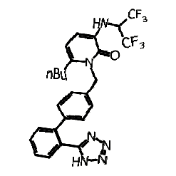 CCCCc1ccc(NC(C(F)(F)F)C(F)(F)F)c(=O)n1Cc1ccc(-c2ccccc2-c2nnn[nH]2)cc1